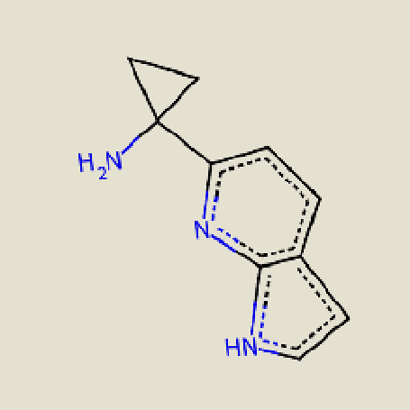 NC1(c2ccc3cc[nH]c3n2)CC1